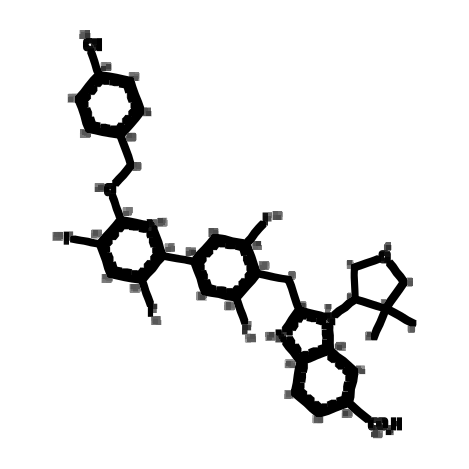 CC1(C)COCC1n1c(Cc2c(F)cc(-c3nc(OCc4ccc(C#N)cc4)c(F)cc3F)cc2F)nc2ccc(C(=O)O)cc21